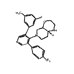 Cc1cc(F)cc(-c2cncc(-c3ccc(C(F)(F)F)cc3)c2N2CC[C@H]3NCCOC3C2)c1